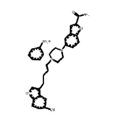 N#Cc1ccc2[nH]cc(CCCCN3CCN(c4ccc5oc(C(N)=O)cc5c4)CC3)c2c1.O=S(=O)(O)c1ccccc1